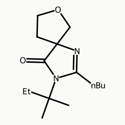 CCCCC1=NC2(CCOC2)C(=O)N1C(C)(C)CC